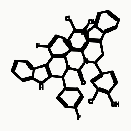 O=C(N1C(c2ccc(O)c(Cl)c2)Cc2c([nH]c3ccccc23)C1c1ccc(F)cc1)N1C(c2ccc(O)c(Cl)c2)Cc2c([nH]c3ccccc23)C1c1ccc(F)cc1